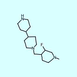 CN1CCC(CN2CCC(C3CCNCC3)CC2)C(F)C1